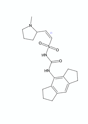 CN1CCCC1/C=C\S(=O)(=O)NC(=O)Nc1c2c(cc3c1CCC3)CCC2